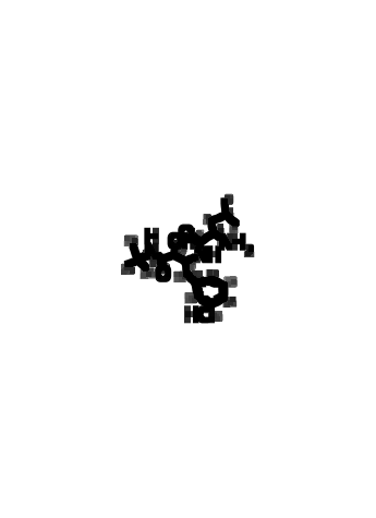 CC(C)CC(N)C(=O)NC(Cc1ccccc1)C(O)C(=O)NC(C)(C)C.Cl